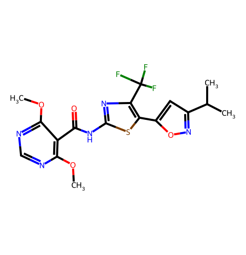 COc1ncnc(OC)c1C(=O)Nc1nc(C(F)(F)F)c(-c2cc(C(C)C)no2)s1